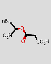 CCCCC(OC(=O)CC(=O)O)[N+](=O)[O-]